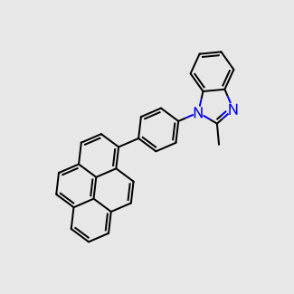 Cc1nc2ccccc2n1-c1ccc(-c2ccc3ccc4cccc5ccc2c3c45)cc1